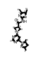 Cc1cc(C)n(-c2cc(N3CC(C(=O)Nc4nc(C)c(C)s4)C3)ncn2)n1